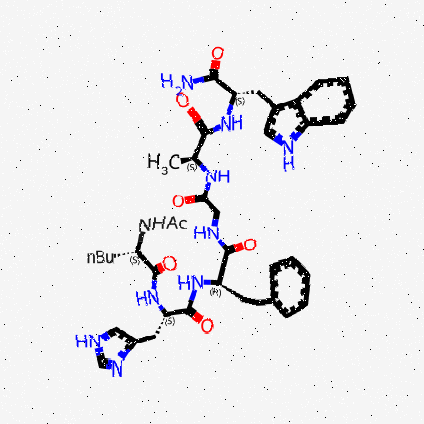 CCCC[C@H](NC(C)=O)C(=O)N[C@@H](Cc1c[nH]cn1)C(=O)N[C@H](Cc1ccccc1)C(=O)NCC(=O)N[C@@H](C)C(=O)N[C@@H](Cc1c[nH]c2ccccc12)C(N)=O